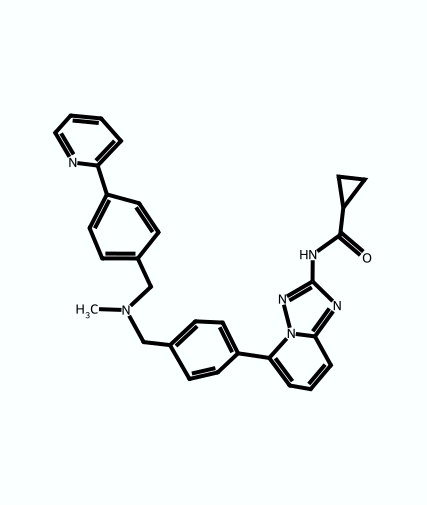 CN(Cc1ccc(-c2ccccn2)cc1)Cc1ccc(-c2cccc3nc(NC(=O)C4CC4)nn23)cc1